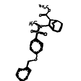 COC(=O)C1C2C=CC(C2)C1N(C)S(=O)(=O)c1ccc(OCc2ccccc2)cc1